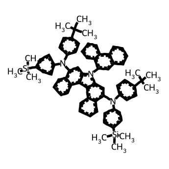 CC(C)(C)c1ccc(N(c2ccc([Si](C)(C)C)cc2)c2cc3c(c4ccccc24)c2c4ccccc4c(N(c4ccc(C(C)(C)C)cc4)c4ccc([Si](C)(C)C)cc4)cc2n3-c2cc3ccccc3c3ccccc23)cc1